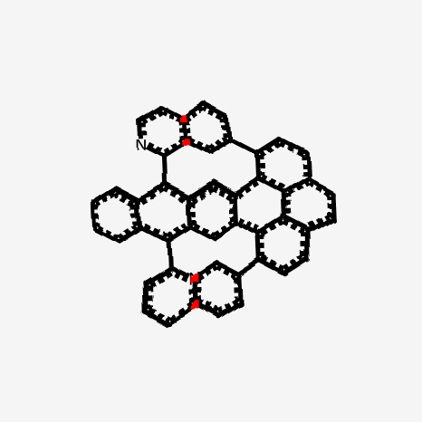 c1ccc(-c2ccc3ccc4ccc(-c5ccccc5)c5c6cc7c(-c8ccccn8)c8ccccc8c(-c8ccccn8)c7cc6c2c3c45)cc1